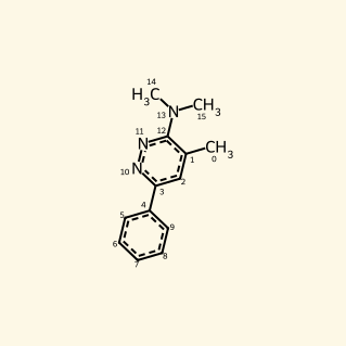 Cc1cc(-c2ccccc2)nnc1N(C)C